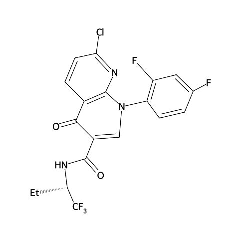 CC[C@H](NC(=O)c1cn(-c2ccc(F)cc2F)c2nc(Cl)ccc2c1=O)C(F)(F)F